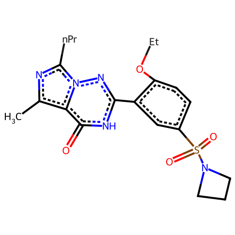 CCCc1nc(C)c2c(=O)[nH]c(-c3cc(S(=O)(=O)N4CCC4)ccc3OCC)nn12